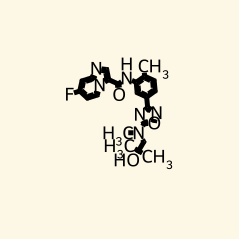 Cc1ccc(-c2noc(N(C)CC(C)(C)O)n2)cc1NC(=O)c1cnc2cc(F)ccn12